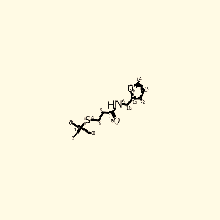 CC(C)(C)SCCC(=O)NCc1ccco1